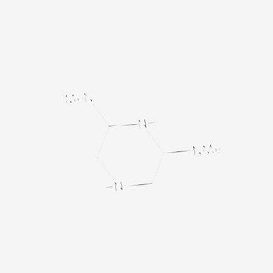 CNC1CNCC(NC)N1